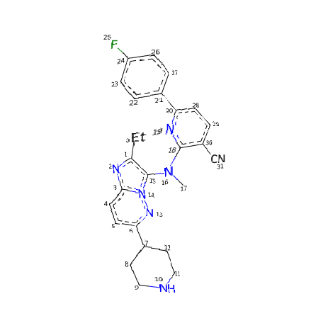 CCc1nc2ccc(C3CCNCC3)nn2c1N(C)c1nc(-c2ccc(F)cc2)ccc1C#N